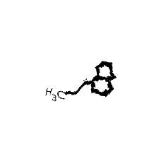 CCC[C]c1cccc2ccccc12